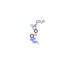 Cn1c(N)nc2c(Oc3ccc4c(c3)CC(=O)N(CCC(=O)O)C4)cccc21